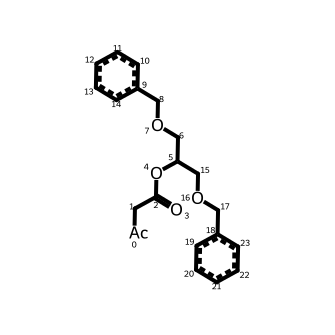 CC(=O)CC(=O)OC(COCc1ccccc1)COCc1ccccc1